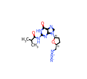 CC(C)C(=O)Nc1nc2c(ncn2[C@H]2CC[C@@H](CN=[N+]=[N-])O2)c(=O)[nH]1